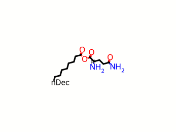 CCCCCCCCCCCCCCCCCC(=O)OC(=O)[C@@H](N)CCC(N)=O